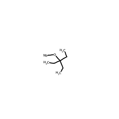 CCC(CC)(CC)[O][Nb]